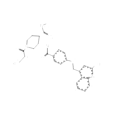 Cc1cc(COc2ccc(C(=O)N[C@@H]3CN(C(=O)CC(C)(C)C)CC[C@@H]3C(=O)NO)cc2)c2ccccc2n1